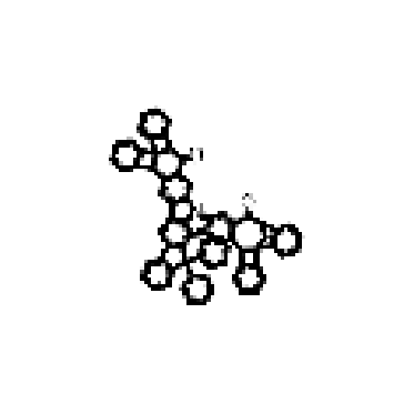 O=C1c2cc3c(cc2C2c4ccccc4C24CC1c1ccccc14)c1c2c(cc4c5cc6c(cc5n3c41)C(=O)C1c3ccccc3C13c1ccccc1C63)-c1ccccc1C2(c1ccccc1)c1ccccc1